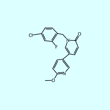 COc1ccc(-c2ccc(=O)n(Cc3ccc(Cl)cc3F)c2)cn1